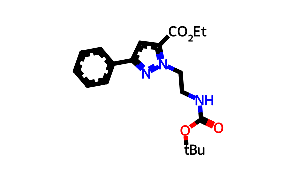 CCOC(=O)c1cc(-c2ccccc2)nn1CCNC(=O)OC(C)(C)C